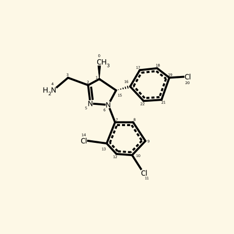 C[C@@H]1C(CN)=NN(c2ccc(Cl)cc2Cl)[C@H]1c1ccc(Cl)cc1